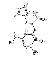 CC(C)(C)OC(=O)N[C@@H](CC1Cn2ncnc2NC1=O)C(=O)OC(C)(C)C